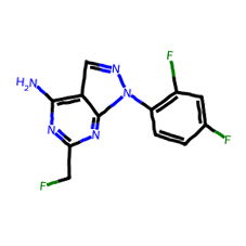 Nc1nc(CF)nc2c1cnn2-c1ccc(F)cc1F